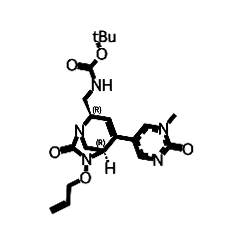 C=CCON1C(=O)N2C[C@H]1C(c1cnc(=O)n(C)c1)=C[C@@H]2CNC(=O)OC(C)(C)C